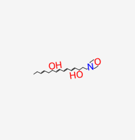 CCC=CCC(O)C=CC=CC=CC(O)CCN1CCOCC1